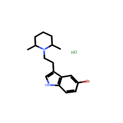 CC1CCCC(C)N1CCc1c[nH]c2ccc(Br)cc12.Cl